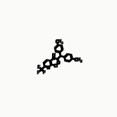 Cc1ccc(C(C(=O)Nc2ccc(C(F)(F)F)nc2Cl)c2ccc(C)cc2)cc1